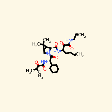 C=CCCC(NC(=O)[C@@H]1C2C(CN1C(=O)[C@@H](NC(=O)C(=O)C(C)C)C1CCCCC1)C2(C)C)C(=O)C(=O)NCC=C